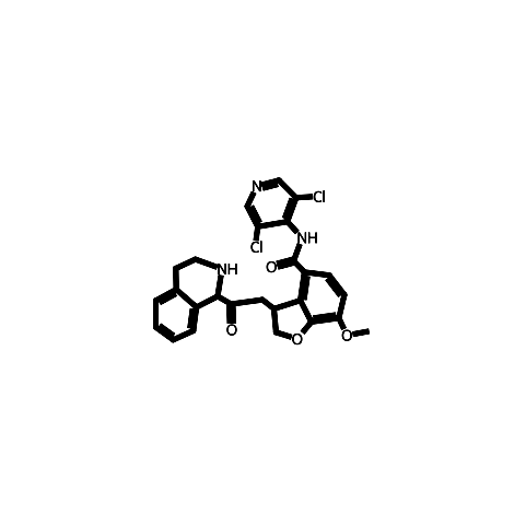 COc1ccc(C(=O)Nc2c(Cl)cncc2Cl)c2c1OCC2CC(=O)C1NCCc2ccccc21